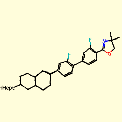 CCCCCCCC1CCC2CC(c3ccc(-c4ccc(C5=NC(C)(C)CO5)c(F)c4)c(F)c3)CCC2C1